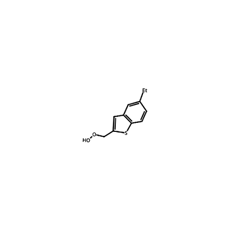 CCc1ccc2sc(COO)cc2c1